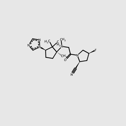 CN(CC(=O)N1C[C@@H](F)C[C@H]1C#N)[C@@]1(C)CC[C@@H](n2cncn2)C1(C)C